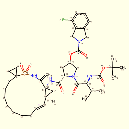 C=C1NS(=O)(=O)C2(CCCCCCC/C=C/[C@@H]3C[C@]13NC(=O)[C@@H]1C[C@@H](OC(=O)N3Cc4cccc(F)c4C3)CN1C(=O)[C@@H](NC(=O)OC(C)(C)C)C(C)C)CC2